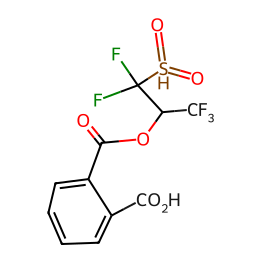 O=C(O)c1ccccc1C(=O)OC(C(F)(F)F)C(F)(F)[SH](=O)=O